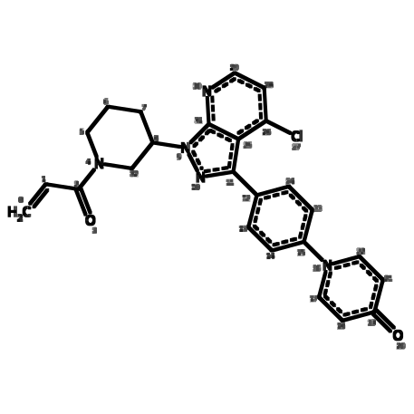 C=CC(=O)N1CCCC(n2nc(-c3ccc(-n4ccc(=O)cc4)cc3)c3c(Cl)ccnc32)C1